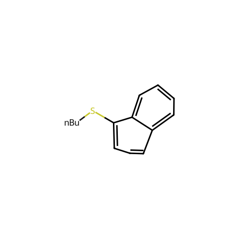 [CH2]CCCSc1cccc2ccccc12